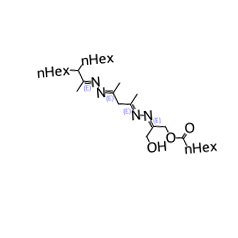 CCCCCCC(=O)OC/C(CO)=N/N=C(\C)C/C(C)=N/N=C(\C)C(CCCCCC)CCCCCC